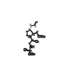 C=CC[C@H]1CCN(C(=O)CNC(=O)OCC(C)C)[C@@H]1COC